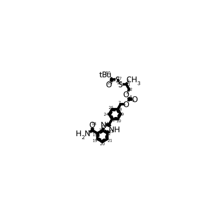 CC(COC(=O)OCc1ccc(-c2nc3c(C(N)=O)cccc3[nH]2)cc1)SSC(=O)C(C)(C)C